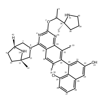 CC(Oc1nc(N2C[C@H]3CC[C@@](C)(C2)N3)c2cc(F)c(-c3cc(O)cc4cccc(Cl)c34)c(F)c2n1)[C@]1(C)CCCN1